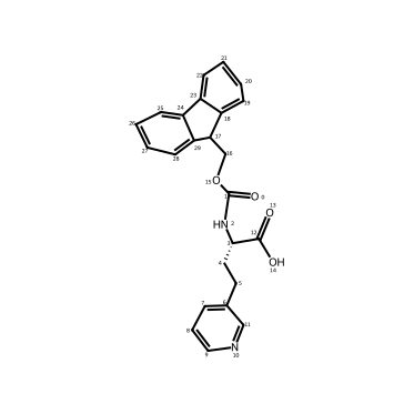 O=C(N[C@@H](CCc1cccnc1)C(=O)O)OCC1c2ccccc2-c2ccccc21